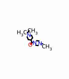 CCN1CCN(C(=O)C2CCN(C(C)C)CC2)CC1